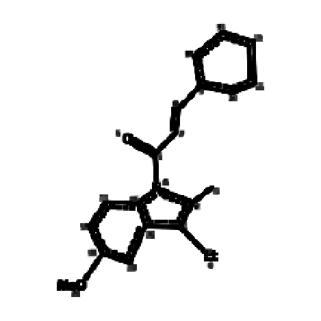 [CH2]Cc1c(C)n(C(=O)C=Cc2ccccc2)c2ccc(OC)cc12